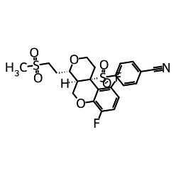 CS(=O)(=O)CC[C@@H]1OCC[C@@]2(S(=O)(=O)c3ccc(C#N)cc3)c3c(F)ccc(F)c3OC[C@@H]12